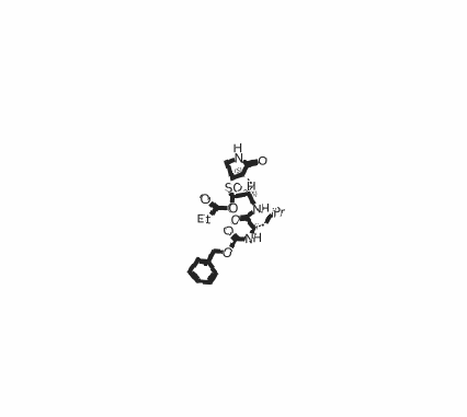 CCC(=O)OC([C@H](C[C@@H]1CCNC1=O)NC(=O)[C@H](CC(C)C)NC(=O)OCc1ccccc1)S(=O)(=O)O